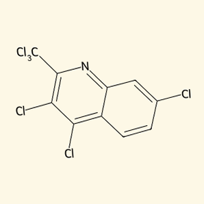 Clc1ccc2c(Cl)c(Cl)c(C(Cl)(Cl)Cl)nc2c1